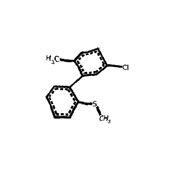 CSc1ccccc1-c1cc(Cl)[c]cc1C